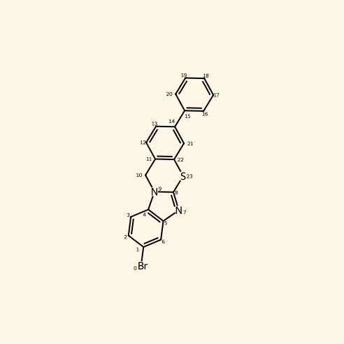 Brc1ccc2c(c1)nc1n2Cc2ccc(-c3ccccc3)cc2S1